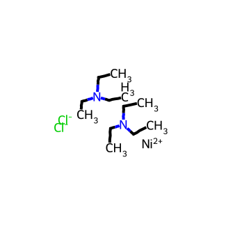 CCN(CC)CC.CCN(CC)CC.[Cl-].[Cl-].[Ni+2]